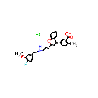 COc1cc(CCNCCC[C@@H]2C[C@@H](c3ccc(C)c(C(=O)O)c3)c3ccccc3O2)ccc1F.Cl